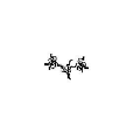 CCCC[Si](CCCC)(SCCC[Si](OCC)(OCC)OCC)SCCC[Si](OCC)(OCC)OCC